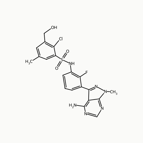 Cc1cc(CO)c(Cl)c(S(=O)(=O)Nc2cccc(-c3nn(C)c4ncnc(N)c34)c2F)c1